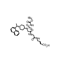 CC(c1cccc2ccccc12)N1CCC(N(CC(=O)NCC(=O)NC/C=C/C(=O)O)S(=O)(=O)NC(=O)OC(C)(C)C)CC1